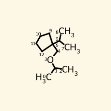 CC(C)OCC1(C(C)C)CCCC1